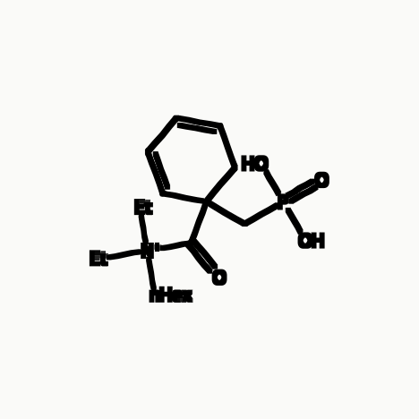 CCCCCC[N+](CC)(CC)C(=O)C1(CP(=O)(O)O)C=CC=CC1